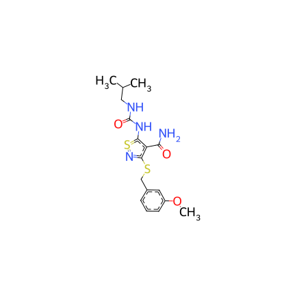 COc1cccc(CSc2nsc(NC(=O)NCC(C)C)c2C(N)=O)c1